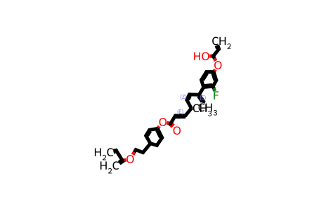 C=CC(=C)OCCC1C=CC(OC(=O)/C=C/C(C)/C=C\C(=C/C)c2ccc(OC(O)C=C)cc2F)=CC1